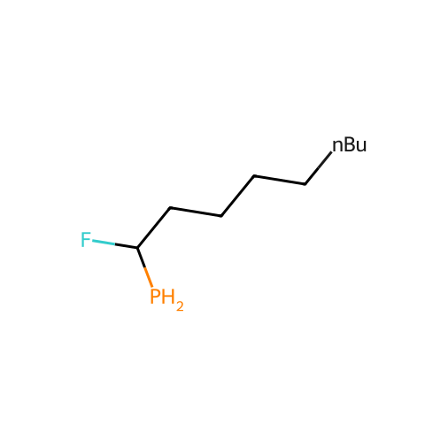 CCCCCCCCC(F)P